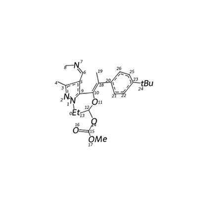 CCn1nc(C)c(/C=N\C)c1/C(OC(C)OC(=O)OC)=C(\C)c1ccc(C(C)(C)C)cc1